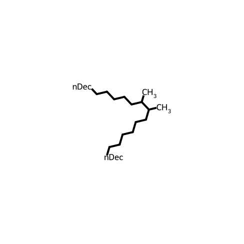 CCCCCCCCCCCCCCCC[C](C)C(C)CCCCCCCCCCCCCCC